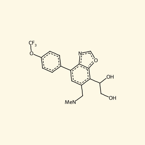 CNCc1cc(-c2ccc(OC(F)(F)F)cc2)c2ncoc2c1C(O)CO